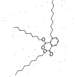 CCCCCCCCCCCc1cccc(C(=O)OCCCCCCCCC)c1C(=O)OCCCCCCCCC